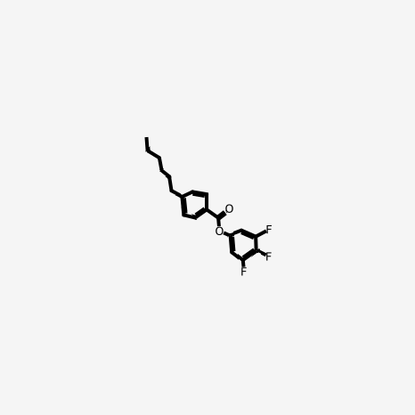 CCCCCCc1ccc(C(=O)Oc2cc(F)c(F)c(F)c2)cc1